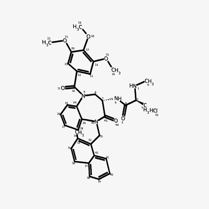 CN[C@@H](C)C(=O)N[C@H]1CN(C(=O)c2cc(OC)c(OC)c(OC)c2)c2ccccc2N(Cc2c(C)ccc3ccccc23)C1=O.Cl